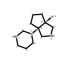 C1CNCN([C@@]23CCC[C@@H]2CNC3)C1